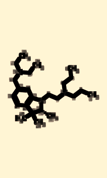 CCCN(CCC)CCN1c2cc(CN(CC)CC)ccc2C(C)(C)[C@H]1C